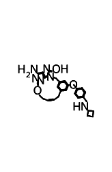 Nc1nc2nc3c1nc(O)n3Cc1cc(cc(Oc3ccc(CNC4CCC4)cc3)c1)C/C=C\CCO2